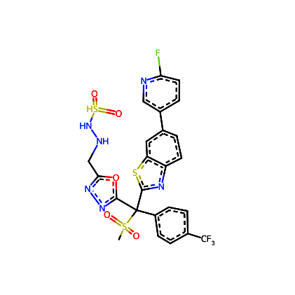 CS(=O)(=O)C(c1ccc(C(F)(F)F)cc1)(c1nnc(CNN[SH](=O)=O)o1)c1nc2ccc(-c3ccc(F)nc3)cc2s1